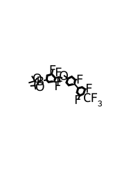 CC1(C)OB(c2cc(F)c(C(F)(F)Oc3ccc(-c4cc(F)c(C(F)(F)F)c(F)c4)c(F)c3)c(F)c2)OC1(C)C